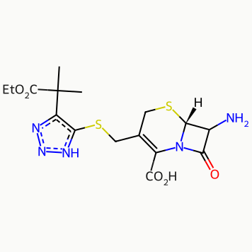 CCOC(=O)C(C)(C)c1nn[nH]c1SCC1=C(C(=O)O)N2C(=O)C(N)[C@H]2SC1